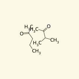 CC(=O)C(C)C.CCCC(C)=O